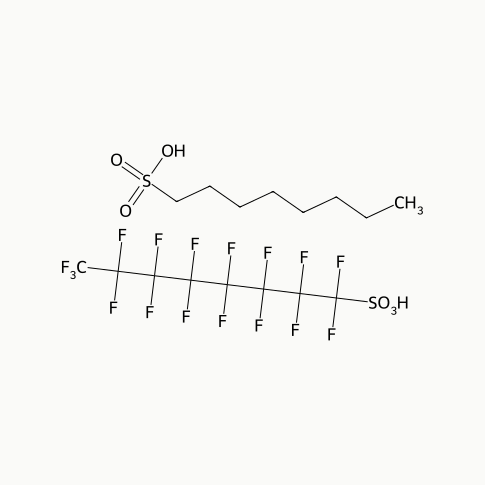 CCCCCCCCS(=O)(=O)O.O=S(=O)(O)C(F)(F)C(F)(F)C(F)(F)C(F)(F)C(F)(F)C(F)(F)C(F)(F)C(F)(F)F